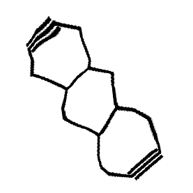 C1#CCC2CC3CC#CCC3CC2C1